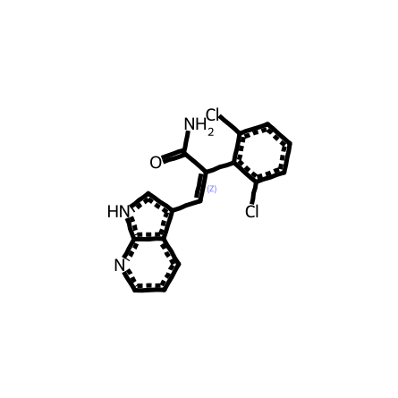 NC(=O)/C(=C\c1c[nH]c2ncccc12)c1c(Cl)cccc1Cl